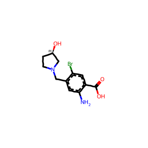 Nc1cc(CN2CC[C@@H](O)C2)c(Br)cc1C(=O)O